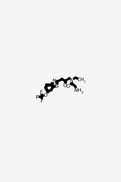 CCN(CC(=O)Cc1nc2ccc(OC(F)(F)F)cc2s1)C(=O)CN